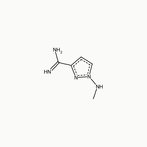 CNn1ccc(C(=N)N)n1